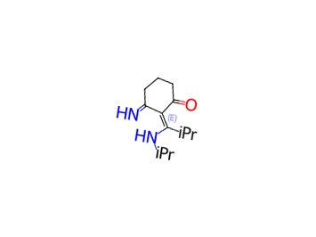 CC(C)N/C(=C1\C(=N)CCCC1=O)C(C)C